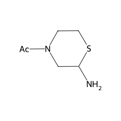 CC(=O)N1CCSC(N)C1